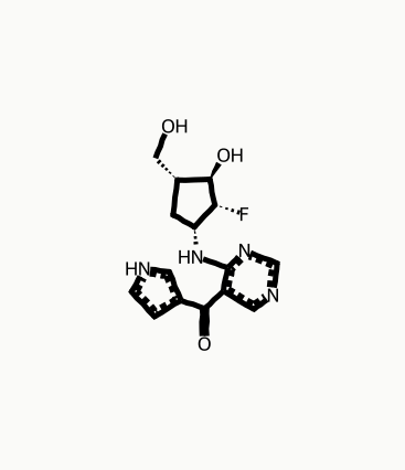 O=C(c1cc[nH]c1)c1cncnc1N[C@@H]1C[C@H](CO)[C@@H](O)[C@@H]1F